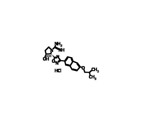 CC(C)COc1ccc2cc(-c3noc([C@@H]4[C@@H](O)CCN4C(=N)N)n3)ccc2c1.Cl